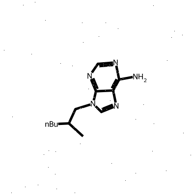 CCCCC(C)Cn1cnc2c(N)ncnc21